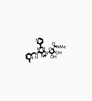 CNC(=O)[C@H]1O[C@@H](n2cnc3c(NCc4cccc(C)n4)nc(-c4cccnc4)nc32)[C@H](O)[C@@H]1O